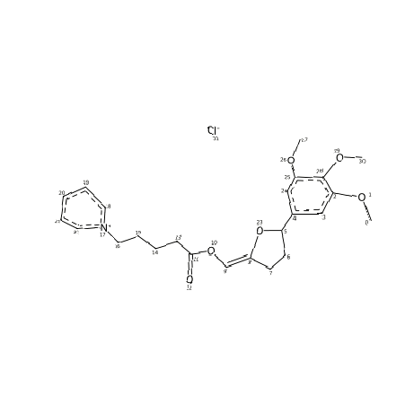 COc1cc(C2CCC(=COC(=O)CCCC[n+]3ccccc3)O2)cc(OC)c1OC.[Cl-]